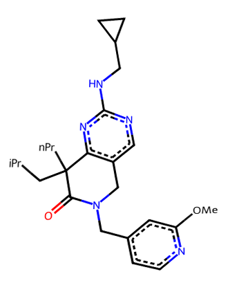 CCCC1(CC(C)C)C(=O)N(Cc2ccnc(OC)c2)Cc2cnc(NCC3CC3)nc21